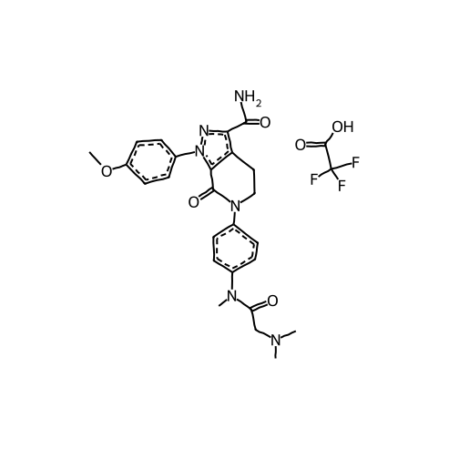 COc1ccc(-n2nc(C(N)=O)c3c2C(=O)N(c2ccc(N(C)C(=O)CN(C)C)cc2)CC3)cc1.O=C(O)C(F)(F)F